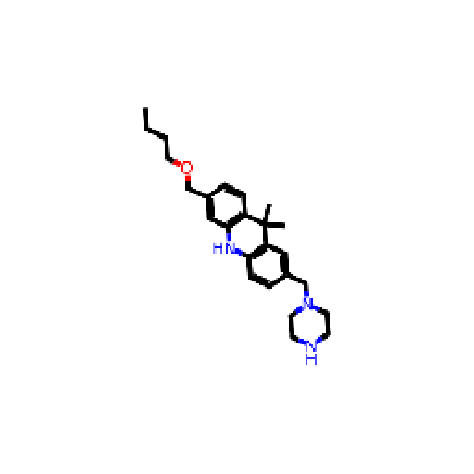 CCCCOCc1ccc2c(c1)Nc1ccc(CN3CCNCC3)cc1C2(C)C